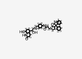 NC(=O)C(c1ccccc1)(c1ccccc1)C1CCN(CCC(=O)Nc2ccc(CNCC(O)c3ccc(O)c4[nH]c(=O)ccc34)cc2)C1